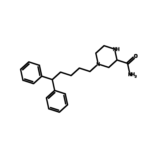 NC(=O)C1CN(CCCCC(c2ccccc2)c2ccccc2)CCN1